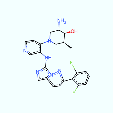 C[C@H]1CN(c2ccncc2Nc2ncc3ccc(-c4c(F)cccc4F)nn23)C[C@H](N)[C@H]1O